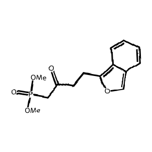 COP(=O)(CC(=O)CCc1occ2ccccc12)OC